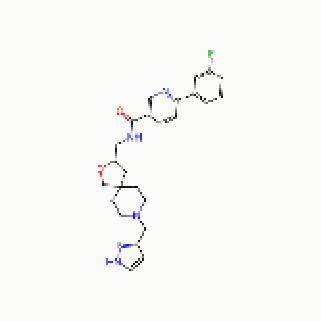 O=C(NCC1CC2(CCN(Cc3cc[nH]n3)CC2)CO1)c1ccc(-c2cccc(F)c2)nc1